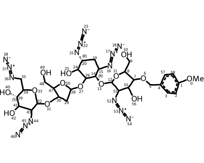 COc1ccc(COC2C(CO)OC(O[C@@H]3C(N=[N+]=[N-])C[C@@H](N=[N+]=[N-])C(O)C3OC3CC(OC4OC(CN=[N+]=[N-])[C@@H](O)C(O)C4N=[N+]=[N-])C(CO)O3)C(N=[N+]=[N-])C2O)cc1